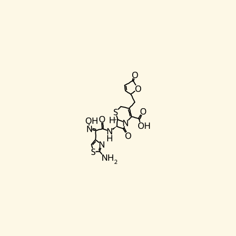 Nc1nc(/C(=N/O)C(=O)N[C@@H]2C(=O)N3C(C(=O)O)=C(CC4C=CC(=O)O4)CS[C@H]23)cs1